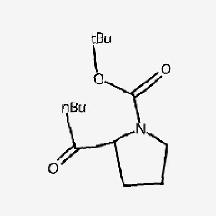 CCCCC(=O)C1CCCN1C(=O)OC(C)(C)C